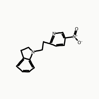 O=[N+]([O-])c1ccc(CCN2CCc3ccccc32)nc1